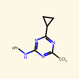 CCCNc1nc(C2CC2)nc(C(Cl)(Cl)Cl)n1